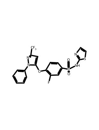 O=S(=O)(Nc1nccs1)c1ccc(Oc2cc(C(F)(F)F)nn2-c2ccccc2)c(F)c1